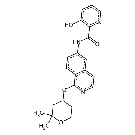 CC1(C)CC(Oc2nccc3cc(NC(=O)c4ncccc4O)ccc23)CCO1